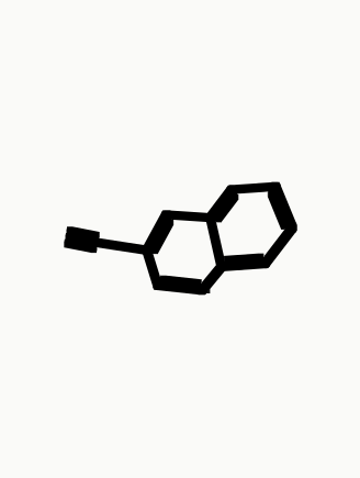 C#Cc1c[c]c2ccccc2c1